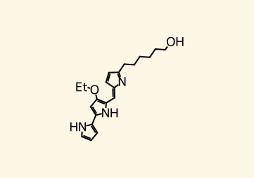 CCOc1cc(-c2ccc[nH]2)[nH]c1/C=C1\C=CC(CCCCCCO)=N1